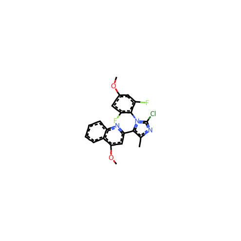 COc1cc(F)c(-n2c(Cl)nc(C)c2-c2cc(OC)c3ccccc3n2)c(F)c1